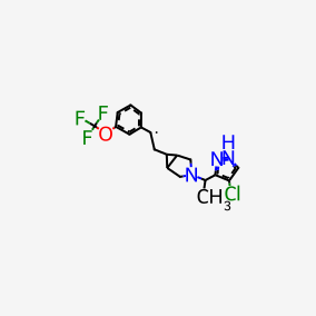 CC(c1n[nH]cc1Cl)N1CC2C(C[CH]c3cccc(OC(F)(F)F)c3)C2C1